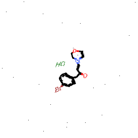 Cl.O=C(CCN1CCOCC1)c1ccc(Br)cc1